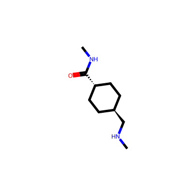 CNC[C@H]1CC[C@H](C(=O)NC)CC1